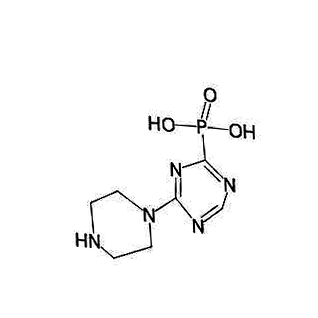 O=P(O)(O)c1ncnc(N2CCNCC2)n1